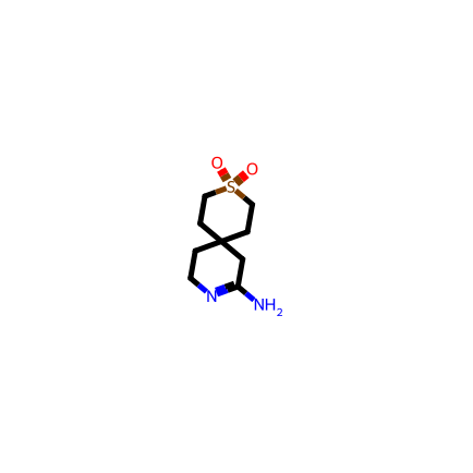 NC1=NCCC2(CCS(=O)(=O)CC2)C1